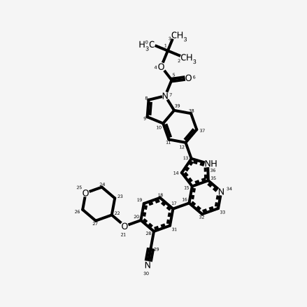 CC(C)(C)OC(=O)N1C=CC2=CC(c3cc4c(-c5ccc(OC6CCOCC6)c(C#N)c5)ccnc4[nH]3)=CCC21